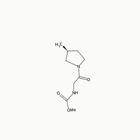 COC(=O)NCC(=O)N1CC[C@H](C)C1